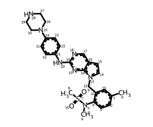 Cc1ccc(N(C)S(C)(=O)=O)c(Cn2ccc3cnc(Nc4ccc(N5CCNCC5)cc4)nc32)c1